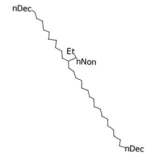 CCCCCCCCCCCCCCCCCCCCCCCCCCCC(CCCCCCCCCCCCCCCCCCCC)C(CC)CCCCCCCCC